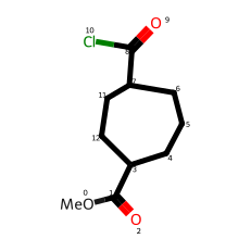 COC(=O)C1CCCC(C(=O)Cl)CC1